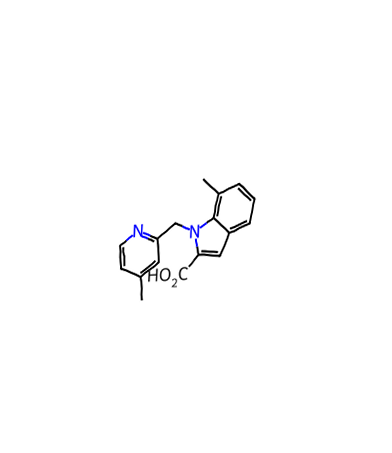 Cc1ccnc(Cn2c(C(=O)O)cc3cccc(C)c32)c1